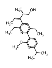 C/C=C(\c1cc(CC)c(-c2ccc(C(C)C)nc2OC)nc1CC)[C@@H](C)CO